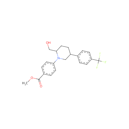 COC(=O)c1ccc(N2CC(c3ccc(C(F)(F)F)cc3)CCC2CO)cc1